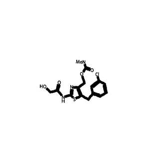 CNC(=O)OCc1nc(NC(=O)CO)sc1Cc1cccc(Cl)c1